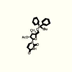 CC(=O)O[C@@H]1[C@H](C)/C(=C\O[Si](c2ccccc2)(c2ccccc2)C(C)(C)C)O[C@H]1n1ccc(=O)[nH]c1=O